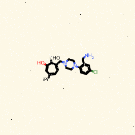 CC(C)C1=CC=C(CN2CCN(c3ccc(Cl)cc3CN)CC2)C(C=O)C(O)=C1